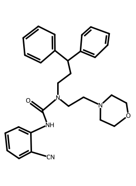 N#Cc1ccccc1NC(=O)N(CCC(c1ccccc1)c1ccccc1)CCN1CCOCC1